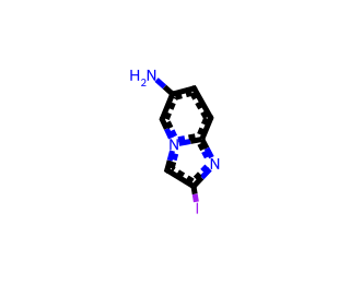 Nc1ccc2nc(I)cn2c1